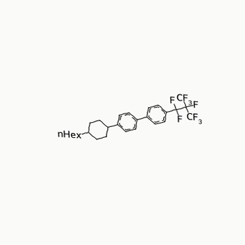 CCCCCCC1CCC(c2ccc(-c3ccc(C(F)(F)C(F)(C(F)(F)F)C(F)(F)F)cc3)cc2)CC1